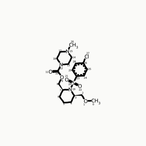 COC[C@H]1CCC[C@@H](COC(=O)N2CCN(C)CC2)N1S(=O)(=O)c1ccc(Cl)cc1